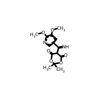 COc1cc(C(=N)C2C(=O)OC(C)(C)OC2=O)cnc1OC